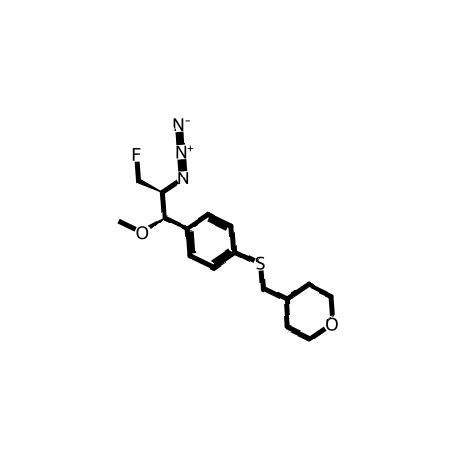 CO[C@H](c1ccc(SCC2CCOCC2)cc1)[C@@H](CF)N=[N+]=[N-]